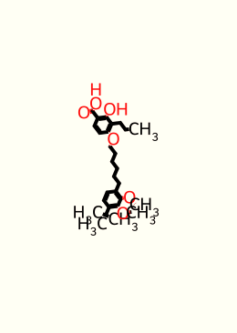 CCCc1c(OCCCCCCc2ccc(C(C)(C)C)c(OC)c2OC)ccc(C(=O)O)c1O